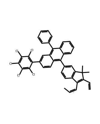 C=CC1=C(/C=C\C)c2ccc(-c3c4ccccc4c(-c4ccccc4)c4cc(-c5c(Cl)c(Cl)c(Cl)c(Cl)c5Cl)ccc34)cc2C1(C)C